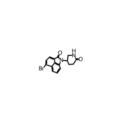 O=C1CCC(N2C(=O)c3ccc(Br)c4cccc2c34)CN1